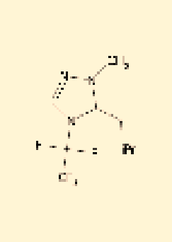 CC(C)CC1N(C)N=CN1C(F)(F)C(F)(F)F